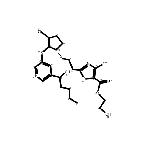 CCCCC(O)c1cncc(SC2C(Cl)CC[C@@H]2CCCc2nc(F)c(C(=O)OCCO)s2)c1